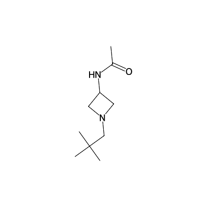 CC(=O)NC1CN(CC(C)(C)C)C1